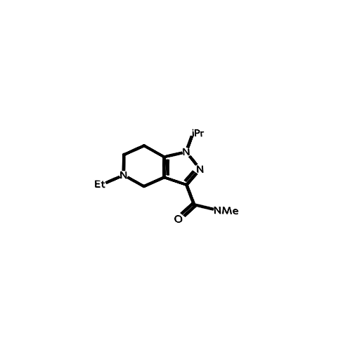 CCN1CCc2c(c(C(=O)NC)nn2C(C)C)C1